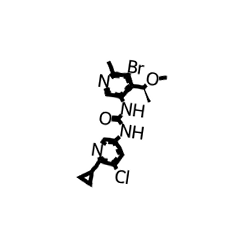 CO[C@@H](C)c1c(NC(=O)Nc2cnc(C3CC3)c(Cl)c2)cnc(C)c1Br